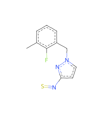 Cc1cccc(Cn2ccc(N=S)n2)c1F